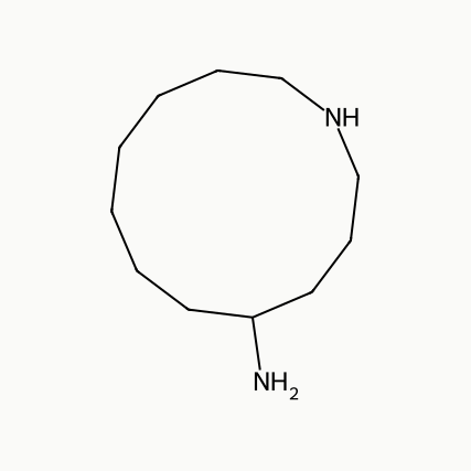 NC1CCCCCCCNCCC1